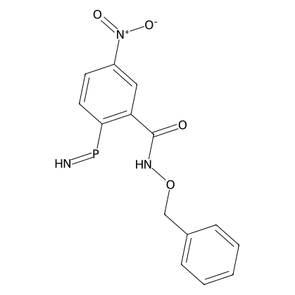 N=Pc1ccc([N+](=O)[O-])cc1C(=O)NOCc1ccccc1